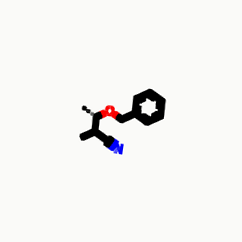 CC(C#N)[C@H](C)OCc1ccccc1